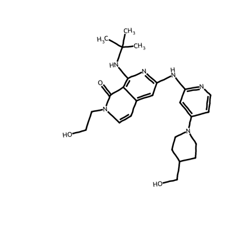 CC(C)(C)Nc1nc(Nc2cc(N3CCC(CO)CC3)ccn2)cc2ccn(CCO)c(=O)c12